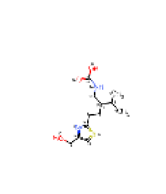 CC(C)[C@@H](CCc1nc(CO)cs1)CNC(=O)O